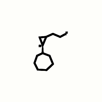 FCCC1C[C@@H]1C1CCCCCC1